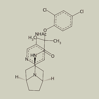 CC(=O)Nc1ccc(N2[C@@H]3CC[C@H]2C[C@@H](NC(=O)C(C)(C)Oc2ccc(Cl)cc2Cl)C3)nc1